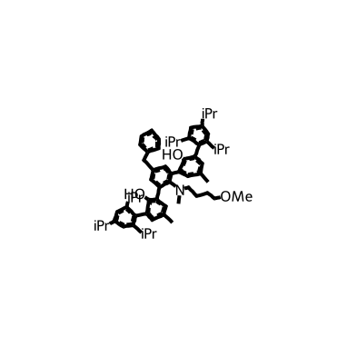 COCCCCN(C)c1c(-c2cc(C)cc(-c3c(C(C)C)cc(C(C)C)cc3C(C)C)c2O)cc(Cc2ccccc2)cc1-c1cc(C)cc(-c2c(C(C)C)cc(C(C)C)cc2C(C)C)c1O